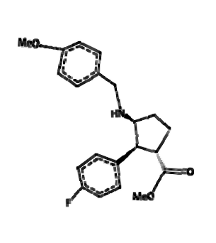 COC(=O)[C@H]1CC[C@H](NCc2ccc(OC)cc2)[C@@H]1c1ccc(F)cc1